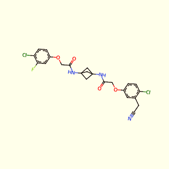 N#CCc1cc(OCC(=O)NC23CC(NC(=O)COc4ccc(Cl)c(F)c4)(C2)C3)ccc1Cl